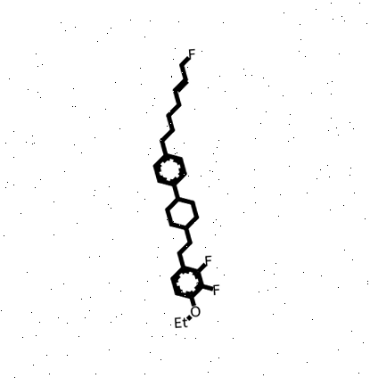 CCOc1ccc(CCC2CCC(c3ccc(CCCC/C=C/CF)cc3)CC2)c(F)c1F